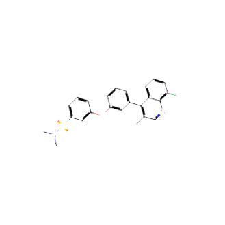 Cc1cnc2c(Cl)cccc2c1-c1cccc(Oc2cccc(S(=O)(=O)N(C)C)c2)c1